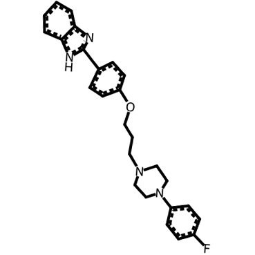 Fc1ccc(N2CCN(CCCOc3ccc(-c4nc5ccccc5[nH]4)cc3)CC2)cc1